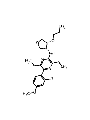 CCCO[C@H]1COC[C@H]1Nc1nc(CC)c(-c2ccc(OC)cc2Cl)nc1CC